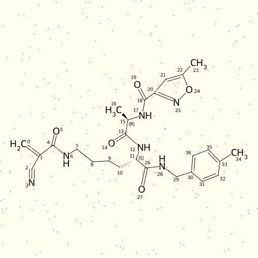 C=C(C#N)C(=O)NCCCC[C@H](NC(=O)[C@@H](C)NC(=O)c1cc(C)on1)C(=O)NCc1ccc(C)cc1